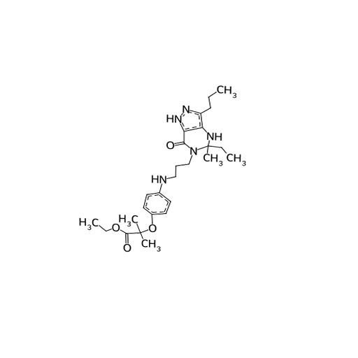 CCCc1n[nH]c2c1NC(C)(CC)N(CCCNc1ccc(OC(C)(C)C(=O)OCC)cc1)C2=O